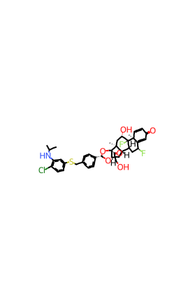 CC(C)Nc1cc(SCc2ccc([C@H]3O[C@@H]4C[C@H]5[C@@H]6C[C@H](F)C7=CC(=O)C=C[C@]7(C)[C@@]6(F)[C@@H](O)C[C@]5(C)[C@]4(C(=O)CO)O3)cc2)ccc1Cl